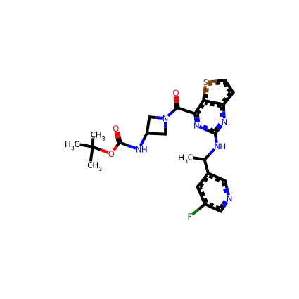 CC(Nc1nc(C(=O)N2CC(NC(=O)OC(C)(C)C)C2)c2sccc2n1)c1cncc(F)c1